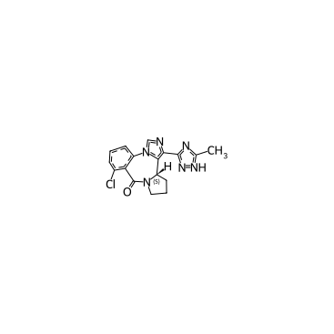 Cc1nc(-c2ncn3c2[C@@H]2CCCN2C(=O)c2c(Cl)cccc2-3)n[nH]1